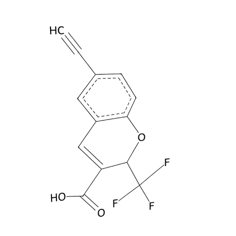 C#Cc1ccc2c(c1)C=C(C(=O)O)C(C(F)(F)F)O2